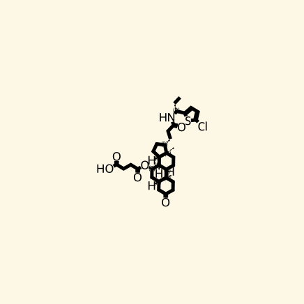 CC[C@@H](NC(=O)CC[C@H]1CC[C@H]2[C@@H]3[C@H](OC(=O)CCC(=O)O)C[C@@H]4CC(=O)CC[C@]4(C)[C@H]3CC[C@]12C)c1ccc(Cl)s1